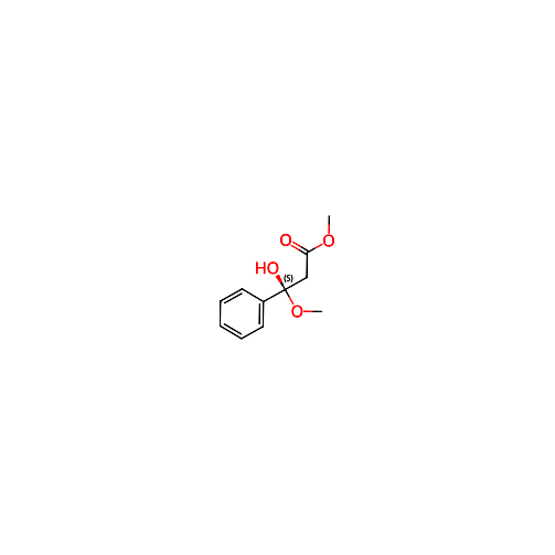 COC(=O)C[C@](O)(OC)c1ccccc1